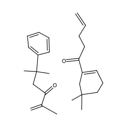 C=C(C)C(=O)CC(C)(C)c1ccccc1.C=CCCC(=O)C1=CCCC(C)(C)C1